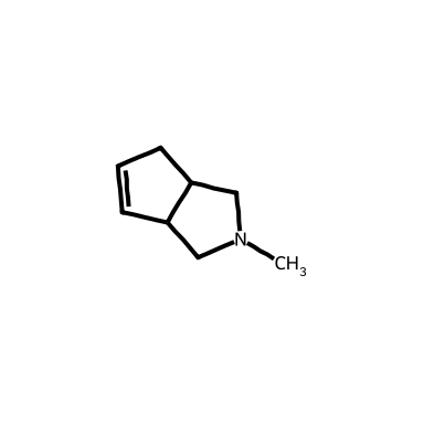 CN1CC2C=CCC2C1